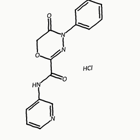 Cl.O=C(Nc1cccnc1)C1=NN(c2ccccc2)C(=O)CO1